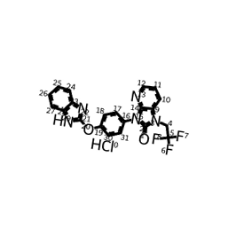 Cl.O=c1n(CC(F)(F)F)c2cccnc2n1-c1ccc(Oc2nc3ccccc3[nH]2)cc1